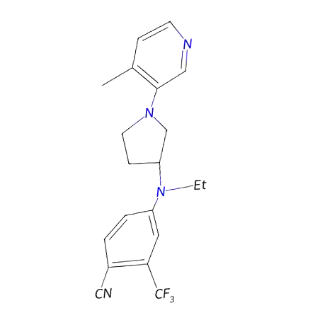 CCN(c1ccc(C#N)c(C(F)(F)F)c1)C1CCN(c2cnccc2C)C1